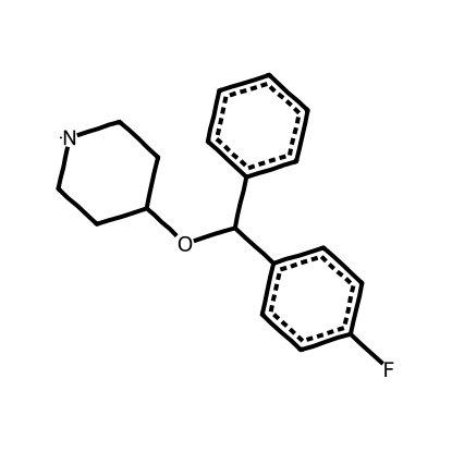 Fc1ccc(C(OC2CC[N]CC2)c2ccccc2)cc1